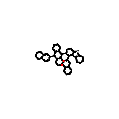 c1ccc2cc(-c3c4ccccc4c(-c4ccc5oc6ccccc6c5c4-c4ccc5ccccc5c4)c4ccccc34)ccc2c1